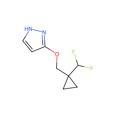 FC(F)C1(COc2cc[nH]n2)CC1